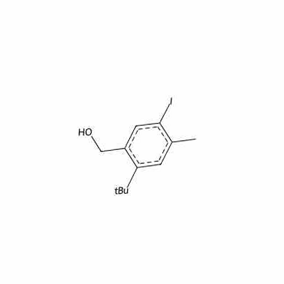 Cc1cc(C(C)(C)C)c(CO)cc1I